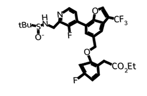 CCOC(=O)Cc1ccc(F)cc1OCc1cc(-c2ccnc(CN[S+]([O-])C(C)(C)C)c2F)c2occ(C(F)(F)F)c2c1